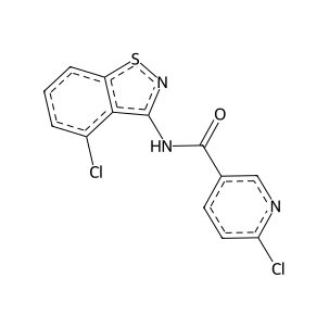 O=C(Nc1nsc2cccc(Cl)c12)c1ccc(Cl)nc1